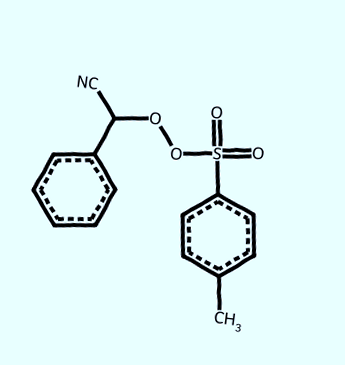 Cc1ccc(S(=O)(=O)OOC(C#N)c2ccccc2)cc1